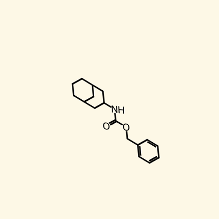 O=C(NC1CC2CCCC(C2)C1)OCc1ccccc1